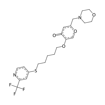 O=c1cc(CN2CCOCC2)occ1OCCCCCSc1ccnc(C(F)(F)F)c1